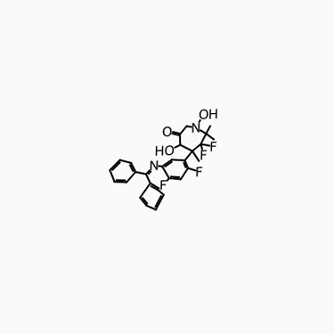 CC1(c2cc(N=C(c3ccccc3)c3ccccc3)c(F)cc2F)C(O)C(=O)CN(O)C(C)(C)C1(F)F